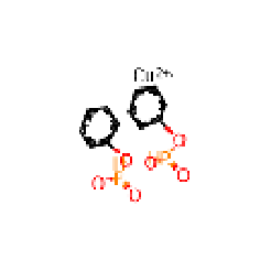 O=[PH]([O-])Oc1ccccc1.O=[PH]([O-])Oc1ccccc1.[Cu+2]